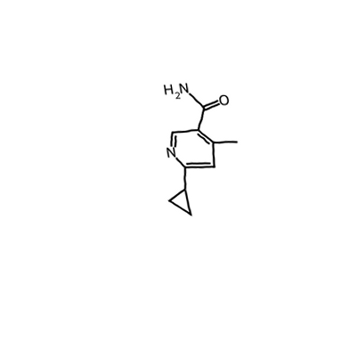 Cc1cc(C2CC2)ncc1C(N)=O